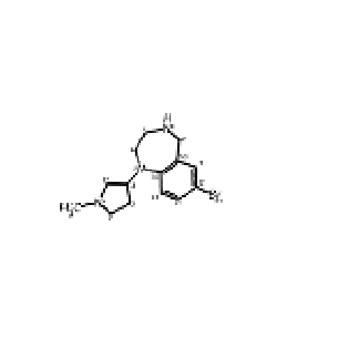 CN1CCC(N2CCNCc3cc(Br)ccc32)C1